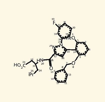 COc1cccc(OCc2ccccc2)c1-c1cc(C(=O)NC(CC(=O)O)CC(C)C)nn1-c1cccc(F)c1